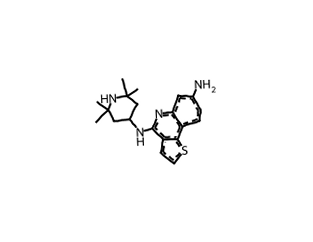 CC1(C)CC(Nc2nc3cc(N)ccc3c3sccc23)CC(C)(C)N1